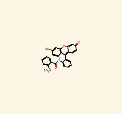 O=C(Nc1ccccc1-c1c2ccc(=O)cc-2oc2cc(O)ccc12)c1ccccc1S(=O)(=O)O